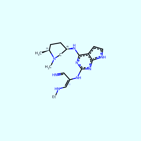 CCN/C=C(\C=N)Nc1nc(N[C@@H]2CC[C@H](C)N(C)C2)c2cc[nH]c2n1